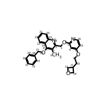 Cc1c(COc2cc(OCCC3COC3)ccn2)nc2ccccc2c1OCc1ccccc1